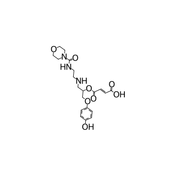 O=C(O)/C=C/C(=O)OC(CNCCNC(=O)N1CCOCC1)COc1ccc(O)cc1